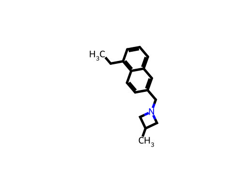 CCc1cccc2cc(CN3CC(C)C3)ccc12